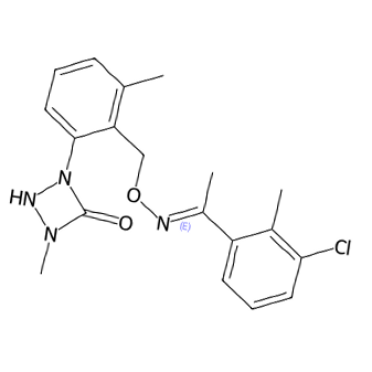 C/C(=N\OCc1c(C)cccc1-n1[nH]n(C)c1=O)c1cccc(Cl)c1C